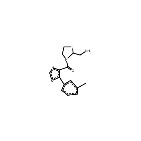 Cc1cccc(-c2scnc2C(=O)N2CCSC2CN)c1